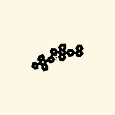 C1=c2ccccc2=C(c2ccc(-c3c4ccccc4c(-c4cccc5c4sc4ccc(-c6c7ccccc7c(-c7ccccc7)c7ccccc67)cc45)c4ccccc34)cc2)CC1